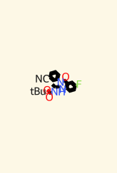 CC(NC(=O)OC(C)(C)C)c1nc2ccc(F)cc2c(=O)n1-c1cccc(C#N)c1